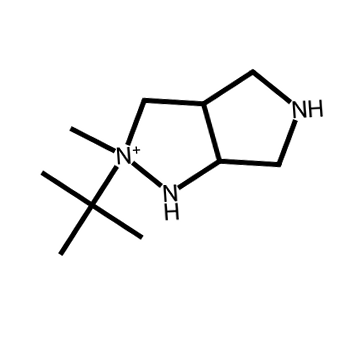 CC(C)(C)[N+]1(C)CC2CNCC2N1